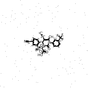 [C-]#[N+]C1=C(C)N(c2cccc(C(F)(F)F)c2)C(=O)N(CC(=O)O)[C@@H]1c1ccc(C#N)cc1S(C)(=O)=O